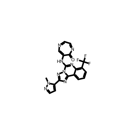 Cn1nccc1-c1nc2c3cccc(C(F)(F)F)c3nc(Nc3cnccnc3=O)n2n1